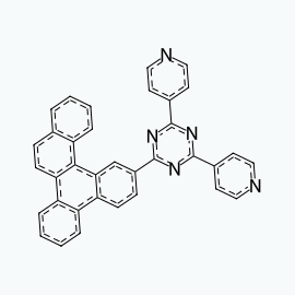 c1ccc2c(c1)ccc1c3ccccc3c3ccc(-c4nc(-c5ccncc5)nc(-c5ccncc5)n4)cc3c21